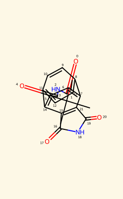 O=c1[nH]c(=O)c2c1c1c3ccc(cc3)c2c2c(=O)[nH]c(=O)c21